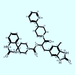 Cc1cc(CC(OC(=O)N2CCC3(CC2)NC(=O)Nc2ccccc23)C(=O)N2CCC(c3ccccn3)CC2)cc2[nH]c(=O)[nH]c12